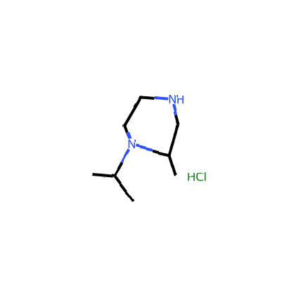 CC(C)N1CCNCC1C.Cl